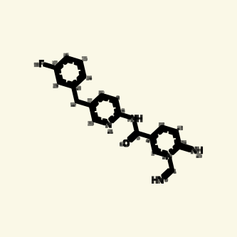 N=Cn1cc(C(=O)Nc2ccc(Cc3cccc(F)c3)cn2)ccc1=N